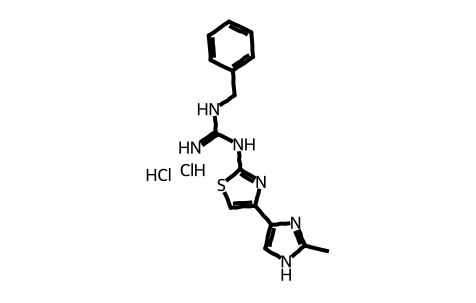 Cc1nc(-c2csc(NC(=N)NCc3ccccc3)n2)c[nH]1.Cl.Cl